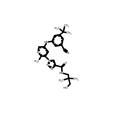 Cc1ncc(Nc2cc(C#N)cc(C(C)(C)C)c2)cc1-n1cc(C(=O)NCC(C)(C)CO)nn1